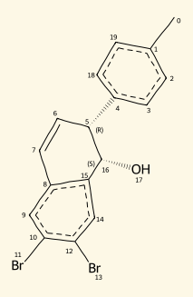 Cc1ccc([C@H]2C=Cc3cc(Br)c(Br)cc3[C@H]2O)cc1